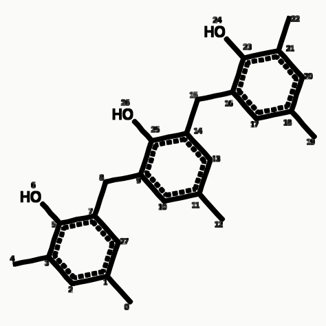 Cc1cc(C)c(O)c(Cc2cc(C)cc(Cc3cc(C)cc(C)c3O)c2O)c1